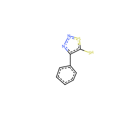 Sc1snnc1-c1ccccc1